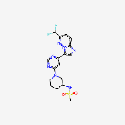 CS(=O)(=O)NC1CCCN(c2cc(-c3cnc4ccc(C(F)F)nn34)ncn2)C1